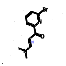 CN(C)/C=C/C(=O)c1cccc(Br)n1